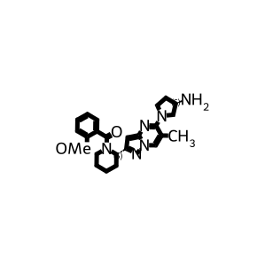 COc1ccccc1C(=O)N1CCCC[C@H]1c1cc2nc(N3CC[C@H](N)C3)c(C)cn2n1